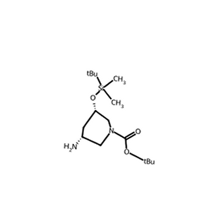 CC(C)(C)OC(=O)N1C[C@H](N)C[C@H](O[Si](C)(C)C(C)(C)C)C1